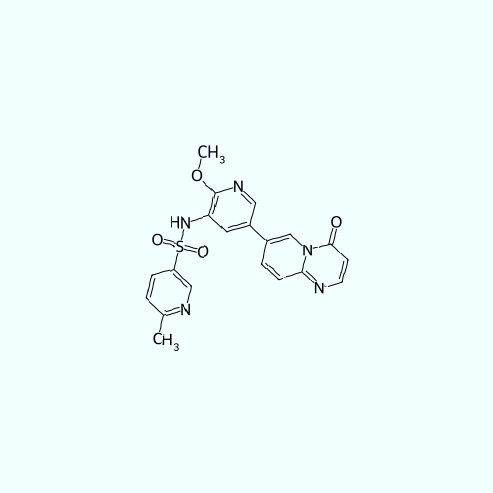 COc1ncc(-c2ccc3nccc(=O)n3c2)cc1NS(=O)(=O)c1ccc(C)nc1